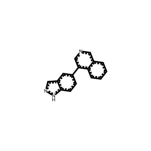 c1ccc2c(-c3ccc4[nH]ncc4c3)cncc2c1